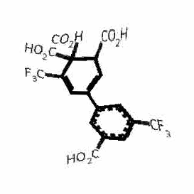 O=C(O)c1cc(C2=CC(C(=O)O)C(C(=O)O)(C(=O)O)C(C(F)(F)F)=C2)cc(C(F)(F)F)c1